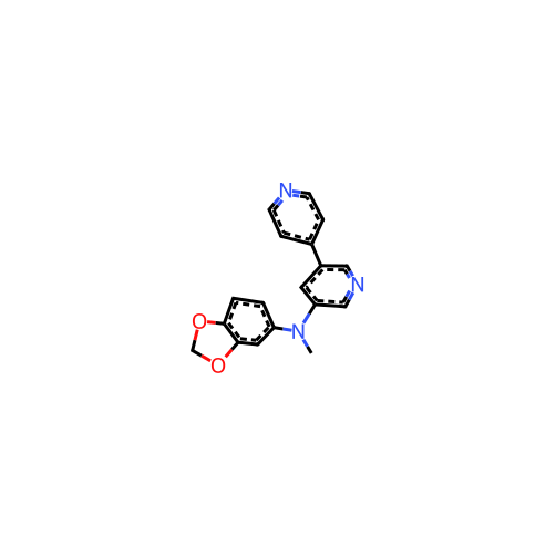 CN(c1cncc(-c2ccncc2)c1)c1ccc2c(c1)OCO2